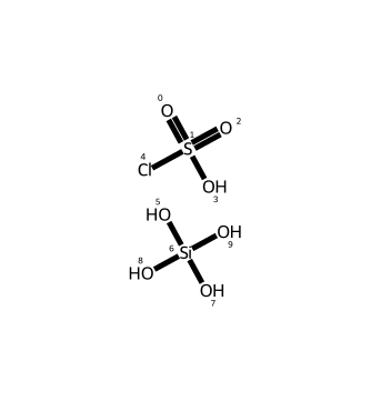 O=S(=O)(O)Cl.O[Si](O)(O)O